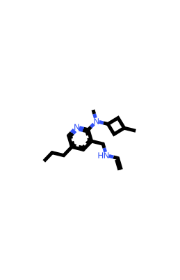 C=CNCc1cc(CCC)cnc1N(C)C1CC(C)C1